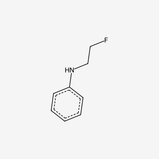 FCCNc1ccccc1